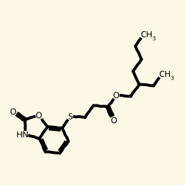 CCCCC(CC)COC(=O)CCSc1cccc2[nH]c(=O)oc12